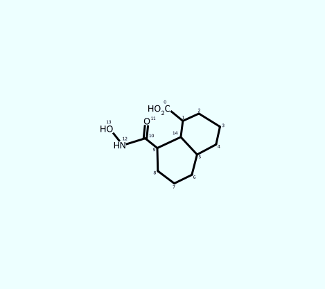 O=C(O)C1CCCC2CCCC(C(=O)NO)C21